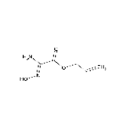 C=CCOC(=O)C(N)=NO